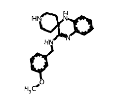 COc1cccc(CNC2=Nc3ccccc3NC23CCNCC3)c1